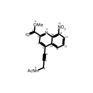 COC(=O)c1cc(C#CCNC(C)=O)c2cccc([N+](=O)[O-])c2n1